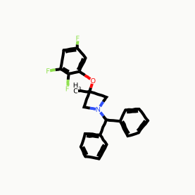 CC1(Oc2cc(F)cc(F)c2F)CN(C(c2ccccc2)c2ccccc2)C1